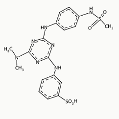 CN(C)c1nc(Nc2ccc(NS(C)(=O)=O)cc2)nc(Nc2cccc(S(=O)(=O)O)c2)n1